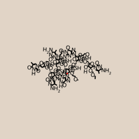 CCOCOC1[C@@H](O)[C@@H](COP(=O)(S)O[C@@H]2C(OCCOC)[C@H](n3cnc4c(=O)[nH]c(N)nc43)O[C@@H]2COP(=O)(S)O[C@@H]2C(OCCOC)[C@H](n3cnc4c(=O)[nH]c(N)nc43)O[C@@H]2COP(=O)(S)O[C@@H]2C(OCCOC)[C@H](n3cc(C)c(N)nc3=O)O[C@@H]2COP(=O)(S)O[C@@H]2C(OCCOC)[C@H](n3cc(C)c(N)nc3=O)O[C@@H]2COP(=O)(S)O[C@@H]2C[C@H](n3cc(C)c(=O)[nH]c3=O)O[C@@H]2CC)O[C@H]1n1cc(C)c(N)nc1=O